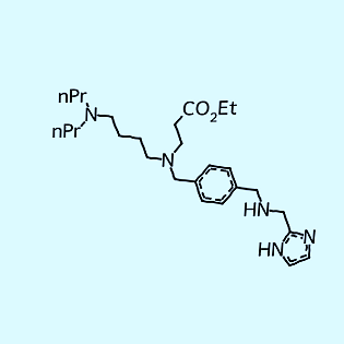 CCCN(CCC)CCCCN(CCC(=O)OCC)Cc1ccc(CNCc2ncc[nH]2)cc1